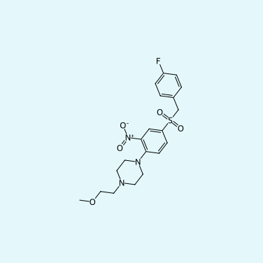 COCCN1CCN(c2ccc(S(=O)(=O)Cc3ccc(F)cc3)cc2[N+](=O)[O-])CC1